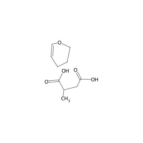 C1=COCCC1.CC(CC(=O)O)C(=O)O